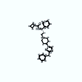 O=C(N[C@@H](CCN1CCC(n2cnc(Cc3ccccc3)n2)CC1)c1ccccc1)C1CCC1